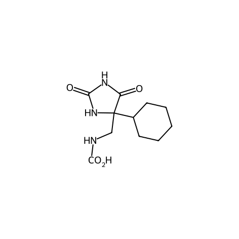 O=C(O)NCC1(C2CCCCC2)NC(=O)NC1=O